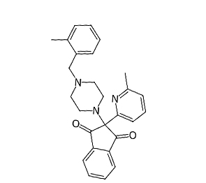 Cc1cccc(C2(N3CCN(Cc4ccccc4C)CC3)C(=O)c3ccccc3C2=O)n1